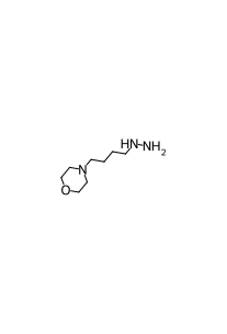 NNCCCCN1CCOCC1